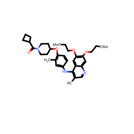 COCCOc1cc2ncc(C#N)c(Nc3ccc(OC4CCN(C(=O)C5CCC5)CC4)c(C)c3)c2cc1OCCOC